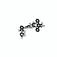 CO[C@@H]1[C@H](N(C)C(=O)CCCNc2cccc3c2C(=O)N(C2CCC(=O)NC2=O)C3=O)C[C@H]2O[C@]1(C)n1c3ccccc3c3c4c(c5c6ccccc6n2c5c31)C(=O)NC4